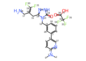 CN(C)c1ccc(-c2cccc(Cn3c(CC(CN)=C(F)F)n[nH]c3=O)c2)cn1.O=C(O)C(F)(F)F